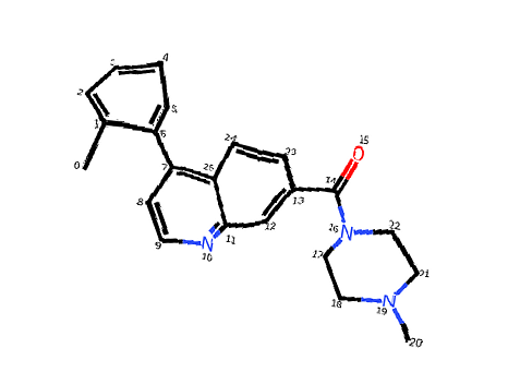 Cc1ccccc1-c1ccnc2cc(C(=O)N3CCN(C)CC3)ccc12